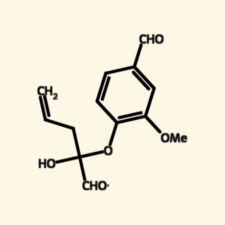 C=CCC(O)([C]=O)Oc1ccc(C=O)cc1OC